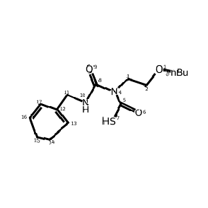 CCCCOCCN(C(=O)S)C(=O)NCC1=CCCC=C1